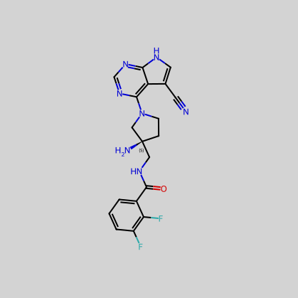 N#Cc1c[nH]c2ncnc(N3CC[C@](N)(CNC(=O)c4cccc(F)c4F)C3)c12